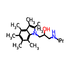 Cc1c(C)c(C)c2c(c1C)c(C)c(C)n2CC(O)CNC(C)C